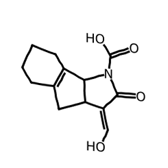 O=C(O)N1C(=O)C(=CO)C2CC3=C(CCCC3)C21